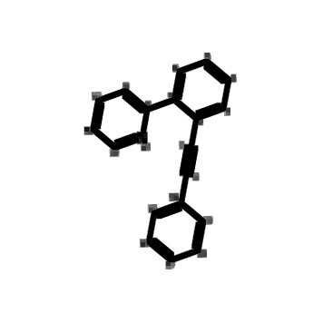 C(#Cc1ccccc1-c1ccccn1)c1ccccc1